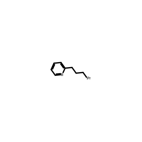 CC(C)CCCc1bcccc1